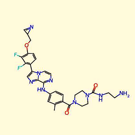 Cc1cc(Nc2nccn3c(-c4ccc(OCC5C=N5)c(F)c4F)cnc23)ccc1C(=O)N1CCN(C(=O)NCCN)CC1